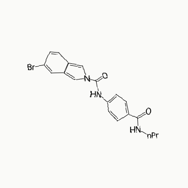 CCCNC(=O)c1ccc(NC(=O)n2cc3ccc(Br)cc3c2)cc1